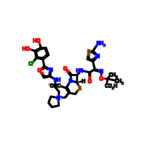 CC(C)(O/N=C(\C(=O)N[C@@H]1C(=O)N2C(C(=O)[O-])=C(C[N+]3(CCNc4coc(-c5ccc(O)c(O)c5Cl)n4)CCCC3)CS[C@H]12)c1csc(N)n1)C(=O)O